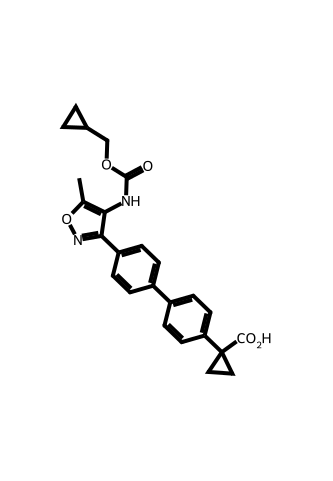 Cc1onc(-c2ccc(-c3ccc(C4(C(=O)O)CC4)cc3)cc2)c1NC(=O)OCC1CC1